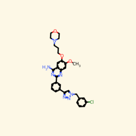 COc1cc2nc(-c3cccc(-c4cn(Cc5cccc(Cl)c5)nn4)c3)nc(N)c2cc1OCCCN1CCOCC1